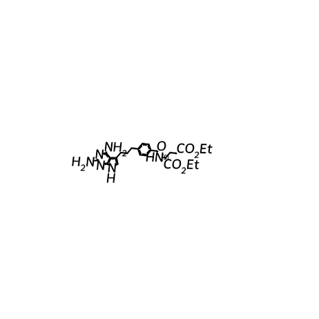 CCOC(=O)CC[C@H](NC(=O)c1ccc(CCCc2c[nH]c3nc(N)nc(N)c23)cc1)C(=O)OCC